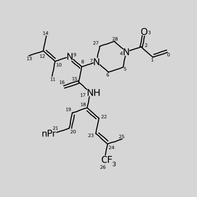 C=CC(=O)N1CCN(/C(=N/C(C)=C(C)C)C(=C)NC(/C=C/CCC)=C/C=C(\C)C(F)(F)F)CC1